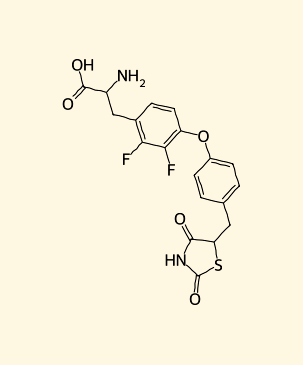 NC(Cc1ccc(Oc2ccc(CC3SC(=O)NC3=O)cc2)c(F)c1F)C(=O)O